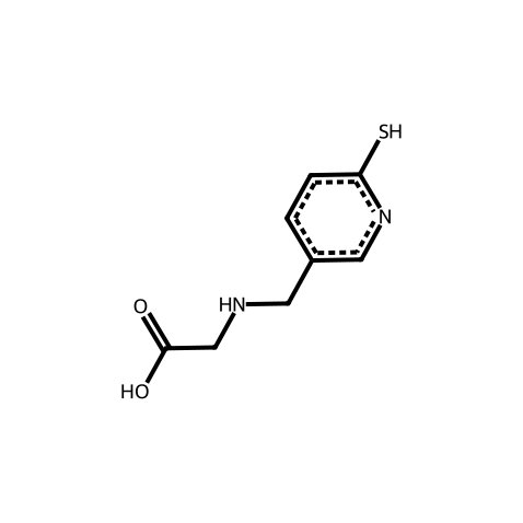 O=C(O)CNCc1ccc(S)nc1